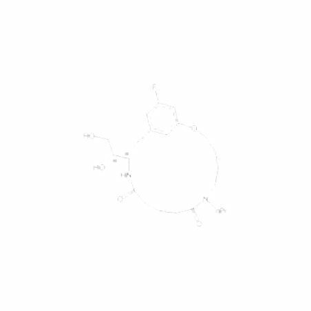 CCCN1CCCCOc2cc(F)cc(c2)C[C@@H]([C@H](O)CO)NC(=O)CCCC1=O